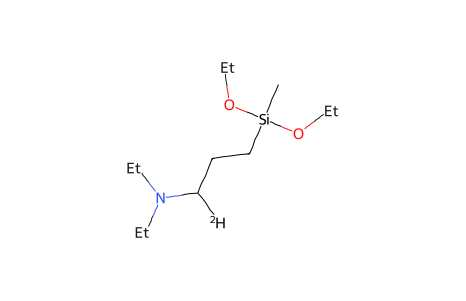 [2H]C(CC[Si](C)(OCC)OCC)N(CC)CC